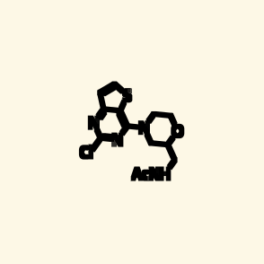 CC(=O)NCC1CN(c2nc(Cl)nc3ccsc23)CCO1